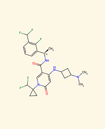 C[C@@H](NC(=O)c1cn(C2(C(F)F)CC2)c(=O)cc1NC1CC(N(C)C)C1)c1cccc(C(F)F)c1F